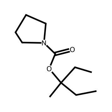 CCC(C)(CC)OC(=O)N1CCCC1